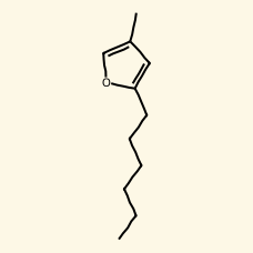 CCCCCCc1cc(C)co1